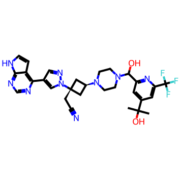 CC(C)(O)c1cc(C(O)N2CCN([C@H]3C[C@](CC#N)(n4cc(-c5ncnc6[nH]ccc56)cn4)C3)CC2)nc(C(F)(F)F)c1